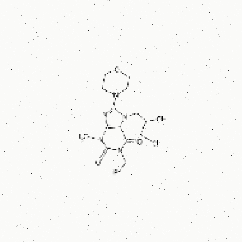 CC(C)Cn1c(=O)c2c(nc(N3CCOCC3)n2CC(O)CCl)n(C)c1=O